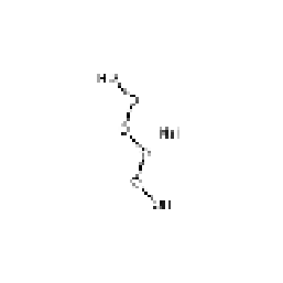 OOOOOO.[NaH]